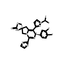 O=C1N[C@@]2(CO1)CC1=C(c3ccn(C(F)F)n3)[C@@H](c3ccc(F)c(F)c3)N=C(c3nccs3)N1C2